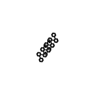 c1ccc(-c2ccccc2-c2cccnc2-c2ccccc2-c2cccnc2-c2ncccc2-c2ccccc2-c2ncccc2-c2ccccc2-c2ccccc2)cc1